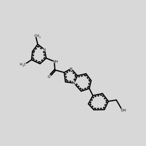 Cc1cc(C)nc(NC(=O)c2cn3cc(-c4cccc(CO)c4)ccc3n2)c1